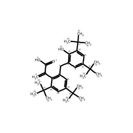 C=C(C(=O)O)c1c(Cc2cc(C(C)(C)C)cc(C(C)(C)C)c2O)cc(C(C)(C)C)cc1C(C)(C)C